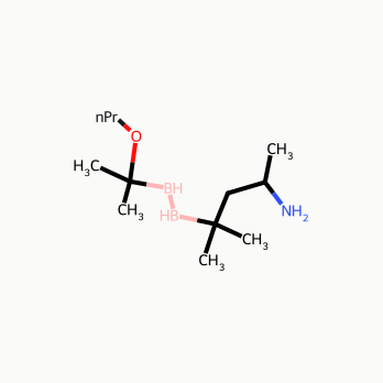 CCCOC(C)(C)BBC(C)(C)CC(C)N